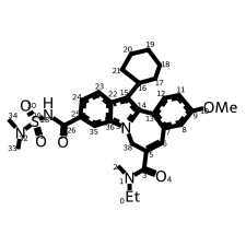 CCN(C)C(=O)C1=Cc2cc(OC)ccc2-c2c(C3CCCCC3)c3ccc(C(=O)NS(=O)(=O)N(C)C)cc3n2C1